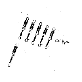 [Ce+3].[O]=[Al][O-].[O]=[Al][O-].[O]=[Al][O-].[O]=[Al][O-].[O]=[Al][O-].[O]=[Al][O-].[Pr+3]